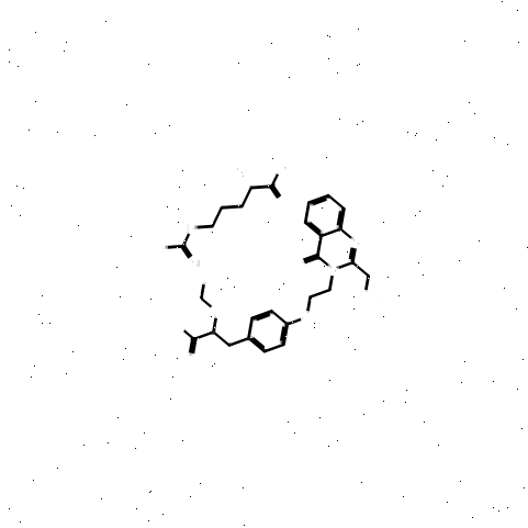 CCOC(Cc1ccc(OCCn2c(CC)nc3ccccc3c2=O)cc1)C(=O)O.N=C(N)NCCC[C@H](N)C(=O)O